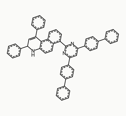 C1=C(c2ccccc2)c2c(ccc3c(-c4nc(-c5ccc(-c6ccccc6)cc5)cc(-c5ccc(-c6ccccc6)cc5)n4)cccc23)NC1c1ccccc1